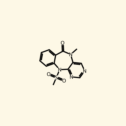 CN1C(=O)c2ccccc2N(S(C)(=O)=O)c2ncncc21